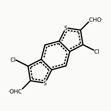 O=[C]c1sc2cc3c(Cl)c([C]=O)sc3cc2c1Cl